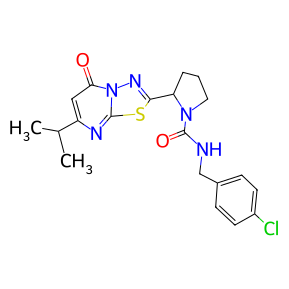 CC(C)c1cc(=O)n2nc(C3CCCN3C(=O)NCc3ccc(Cl)cc3)sc2n1